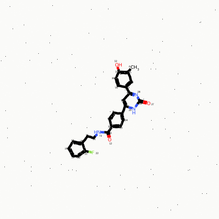 Cc1cc(-c2cc(-c3ccc(C(=O)NCCc4ccccc4F)cc3)[nH]c(=O)n2)ccc1O